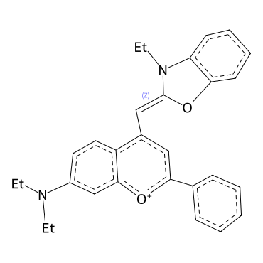 CCN(CC)c1ccc2c(/C=C3\Oc4ccccc4N3CC)cc(-c3ccccc3)[o+]c2c1